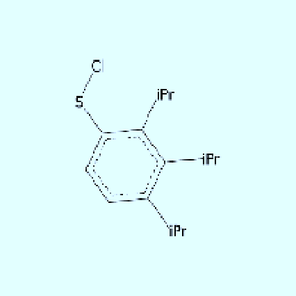 CC(C)c1ccc(SCl)c(C(C)C)c1C(C)C